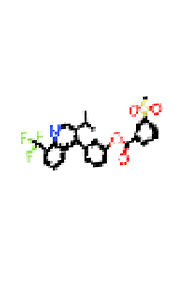 CC(C)c1cnc2c(C(F)(F)F)cccc2c1-c1cccc(OC(=O)c2cccc(S(C)(=O)=O)c2)c1